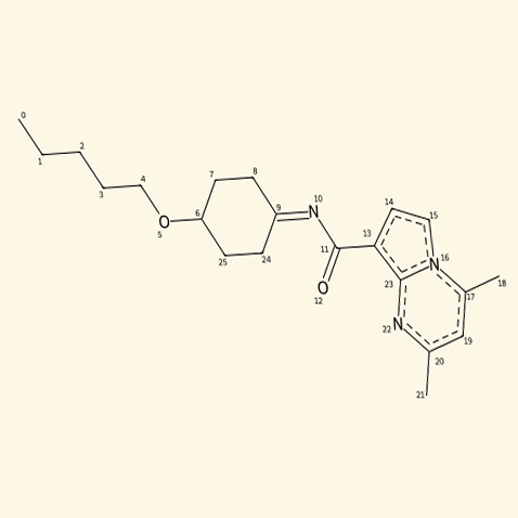 CCCCCOC1CCC(=NC(=O)c2ccn3c(C)cc(C)nc23)CC1